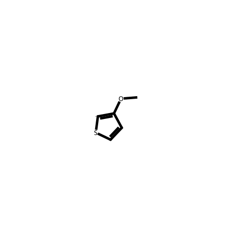 COc1[c]scc1